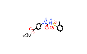 CCCCOC(=O)c1ccc(NC(=O)NS(=O)(=O)c2ccccc2C)cc1